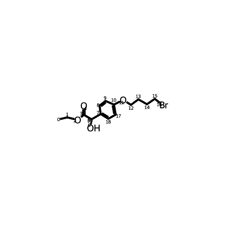 CCOC(=O)[C@H](O)c1ccc(OCCCCBr)cc1